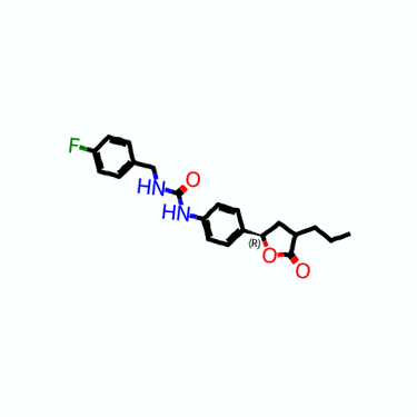 CCCC1C[C@H](c2ccc(NC(=O)NCc3ccc(F)cc3)cc2)OC1=O